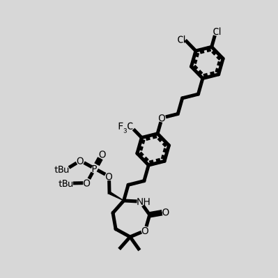 CC(C)(C)OP(=O)(OC[C@]1(CCc2ccc(OCCCc3ccc(Cl)c(Cl)c3)c(C(F)(F)F)c2)CCC(C)(C)OC(=O)N1)OC(C)(C)C